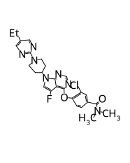 CCc1cnc(N2CCC(n3cc(F)c4c(Oc5ccc(C(=O)N(C)C)cc5Cl)ncnc43)CC2)nc1